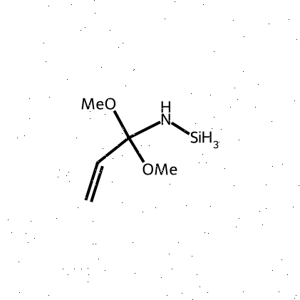 C=CC(N[SiH3])(OC)OC